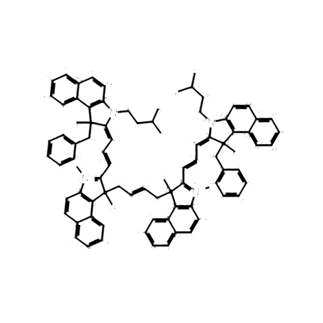 CC(C)CCN1/C(=C/C=C/C2=[N+](C)c3ccc4ccccc4c3C2(C)CC=CCC2(C)C(/C=C/C=C3/N(CCC(C)C)c4ccc5ccccc5c4C3(C)Cc3ccccc3)=[N+](C)c3ccc4ccccc4c32)C(C)(Cc2ccccc2)c2c1ccc1ccccc21